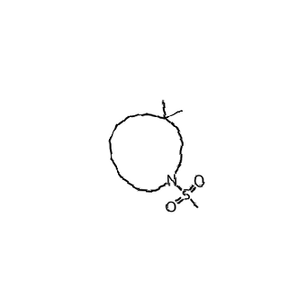 CC1(C)CCCCCCCCN(S(C)(=O)=O)CCC1